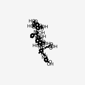 Cc1cc(N=Nc2c(S(=O)(=O)O)cc3c(S(=O)(=O)O)c(N=Nc4c(-c5ccccc5)nn(-c5cc(S(=O)(=O)O)c6ccc(S(=O)(=O)O)c(S(=O)(=O)O)c6c5)c4O)ccc3c2O)c(OCCCCS(=O)(=O)O)cc1N=Nc1nc2ccc(C(=O)O)cc2s1